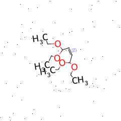 CCOC(/C=C\C(OCC)OCC)OCC